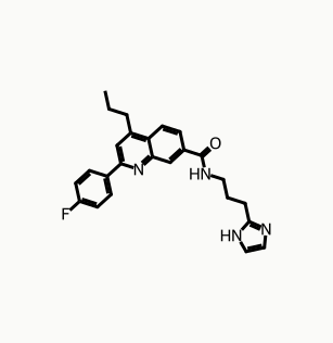 CCCc1cc(-c2ccc(F)cc2)nc2cc(C(=O)NCCCc3ncc[nH]3)ccc12